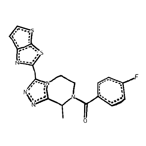 CC1c2nnc(-c3nc4ccsc4s3)n2CCN1C(=O)c1ccc(F)cc1